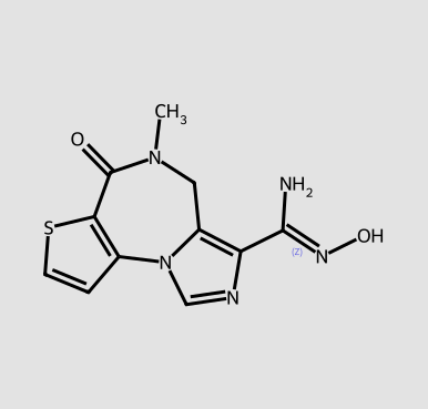 CN1Cc2c(/C(N)=N/O)ncn2-c2ccsc2C1=O